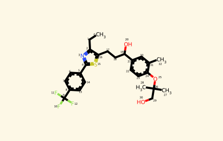 CCc1nc(-c2ccc(C(F)(F)F)cc2)sc1CCC(O)c1ccc(OC(C)(C)CO)c(C)c1